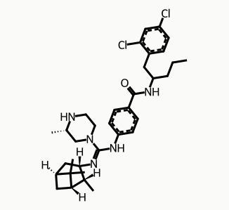 CCCC(Cc1ccc(Cl)cc1Cl)NC(=O)c1ccc(NC(=N[C@H]2C[C@@H]3C[C@@H]([C@H]2C)C3(C)C)N2CCN[C@@H](C)C2)cc1